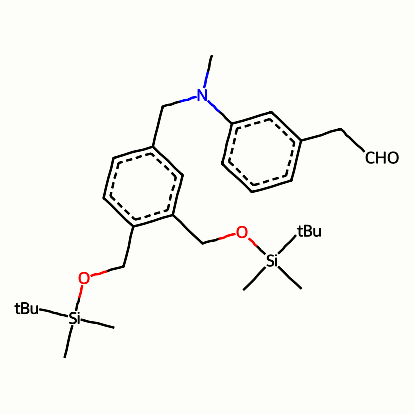 CN(Cc1ccc(CO[Si](C)(C)C(C)(C)C)c(CO[Si](C)(C)C(C)(C)C)c1)c1cccc(CC=O)c1